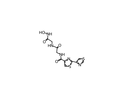 O=C(CNC(=O)CNC(=O)c1csc(-c2cscn2)n1)NO